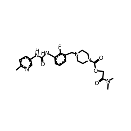 Cc1ccc(NC(=O)Nc2cccc(CN3CCN(C(=O)OCC(=O)N(C)C)CC3)c2F)cn1